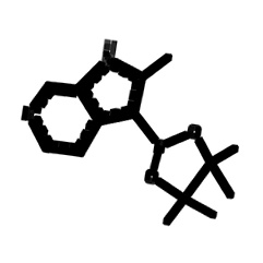 Cc1[nH]c2cnccc2c1B1OC(C)(C)C(C)(C)O1